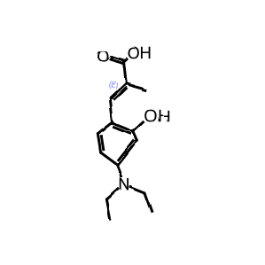 CCN(CC)c1ccc(/C=C(\C)C(=O)O)c(O)c1